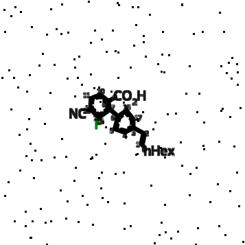 CCCCCC/C=C/c1ccc(-c2c(C(=O)O)ccc(C#N)c2F)cc1